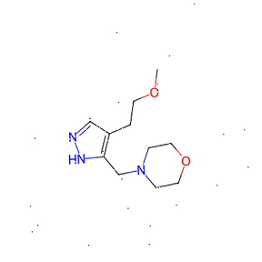 COCCc1[c]n[nH]c1CN1CCOCC1